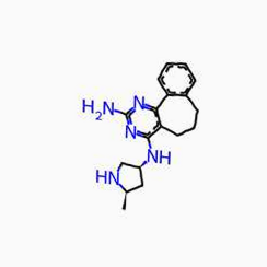 C[C@@H]1C[C@H](Nc2nc(N)nc3c2CCCc2ccccc2-3)CN1